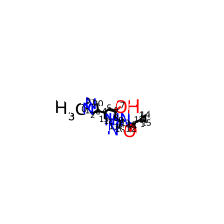 Cn1cc(-c2cc(O)c3c(NC(=O)C4CC4)cnn3c2)cn1